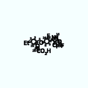 CCc1ccc(COc2ccc(-c3nn(C)c(OC(F)F)c3Cl)c(F)c2)c(OC(C)C(=O)O)c1